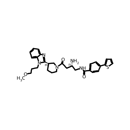 COCCCn1c([C@@H]2CCCN(C(=O)C[C@H](N)CNC(=O)c3ccc(-c4cccs4)cc3)C2)nc2ccccc21